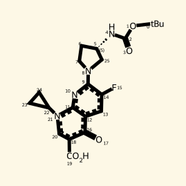 CC(C)(C)OC(=O)N[C@H]1CCN(c2nc3c(cc2F)c(=O)c(C(=O)O)cn3C2CC2)C1